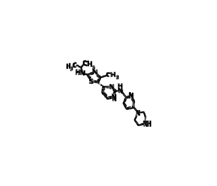 Cc1nc(NC(C)C)sc1-c1ccnc(Nc2ccc(N3CCNCC3)cn2)n1